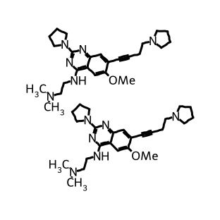 COc1cc2c(NCCN(C)C)nc(N3CCCC3)nc2cc1C#CCCN1CCCC1.COc1cc2c(NCCN(C)C)nc(N3CCCC3)nc2cc1C#CCCN1CCCC1